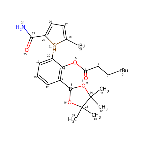 CC(C)(C)CCC(=O)Oc1c(B2OC(C)(C)C(C)(C)O2)cccc1[SH]1C(C(N)=O)=CC=C1C(C)(C)C